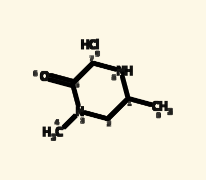 CC1CN(C)C(=O)CN1.Cl